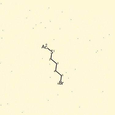 CC(=O)SCCCCBr